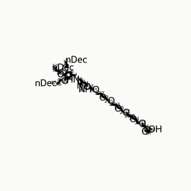 CCCCCCCCCCCCOc1cc(CN/C=C(/COCCOCCOCCOCCOCCOCCOCCOCCP(C)(=O)O)N=N)cc(OCCCCCCCCCCCC)c1OCCCCCCCCCCCC